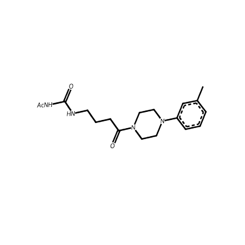 CC(=O)NC(=O)NCCCC(=O)N1CCN(c2cccc(C)c2)CC1